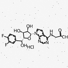 CC(=O)CNc1ncnc2c1ccn2[C@@H]1O[C@H](C(O)c2ccc(F)c(F)c2)[C@@H](O)[C@H]1O.Cl